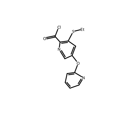 CCSc1cc(Oc2ccccn2)cnc1C(=O)Cl